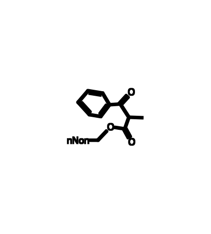 CCCCCCCCCCOC(=O)C(C)C(=O)c1ccccc1